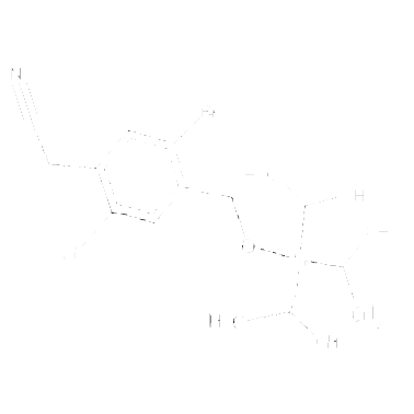 CC(C)[Si](OCc1cc(Cl)c(CC#N)cc1Br)(C(C)C)C(C)C